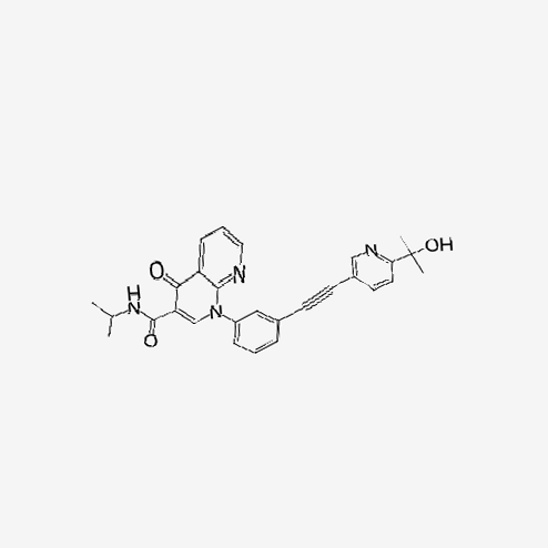 CC(C)NC(=O)c1cn(-c2cccc(C#Cc3ccc(C(C)(C)O)nc3)c2)c2ncccc2c1=O